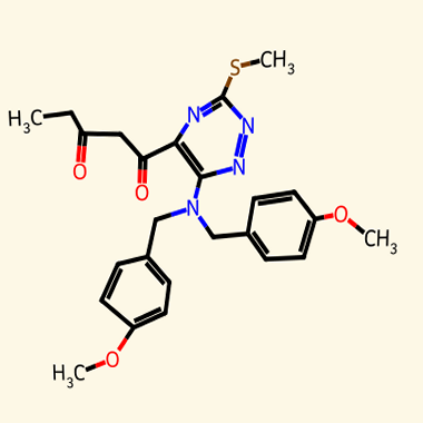 CCC(=O)CC(=O)c1nc(SC)nnc1N(Cc1ccc(OC)cc1)Cc1ccc(OC)cc1